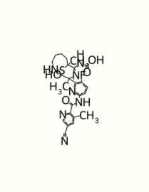 Cc1cc(C#N)cnc1C(=O)Nc1ccc(F)c(C2(C)CS3(O)NCCCCC3(C)C(NC(=O)O)=N2)n1